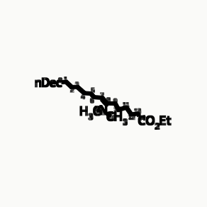 CCCCCCCCCCCCCCCC/C=C(/CCCCCC(=O)OCC)N(C)C